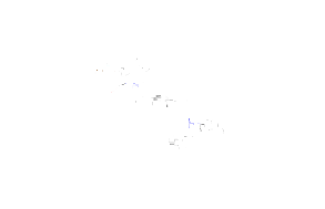 CN(C)CC#CCN1CC[C@H](S)C1=O